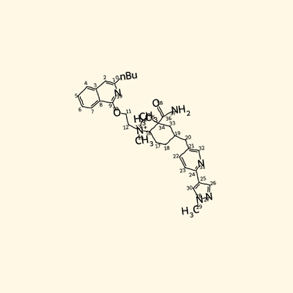 CCCCc1cc2ccccc2c(OCC[N+](C)(C)C2CCC(Cc3ccc(-c4cnn(C)c4)nc3)CC2(C)C(N)=O)n1